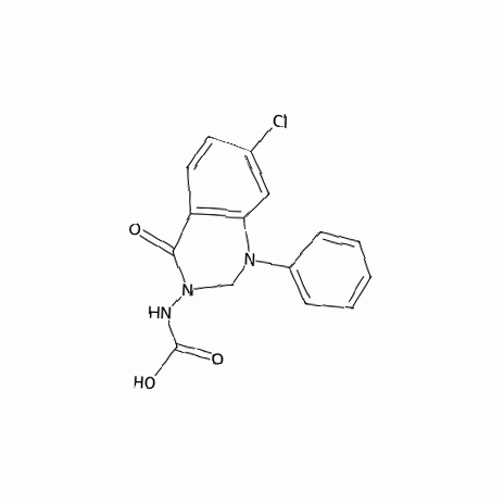 O=C(O)NN1CN(c2ccccc2)c2cc(Cl)ccc2C1=O